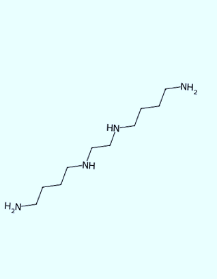 NCCCCNCCNCCCCN